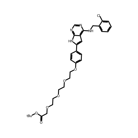 CC(C)(C)OC(=O)COCCOCCOCCOc1ccc(-c2cc3c(NCc4ccccc4Cl)ncnc3[nH]2)cc1